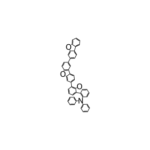 c1ccc(N(c2ccccc2)c2cccc3oc4c(-c5ccc6c(c5)oc5ccc(-c7ccc8c(c7)oc7ccccc78)cc56)cccc4c23)cc1